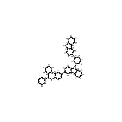 c1ccc(C2Cc3ccc(-c4ccc5c(c4)c4ccccc4n5-c4cccc(-c5ccc6sc7ccccc7c6c5)c4)cc3-c3ccccc32)cc1